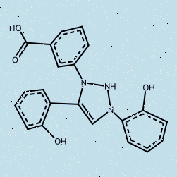 O=C(O)c1cccc(N2NN(c3ccccc3O)C=C2c2ccccc2O)c1